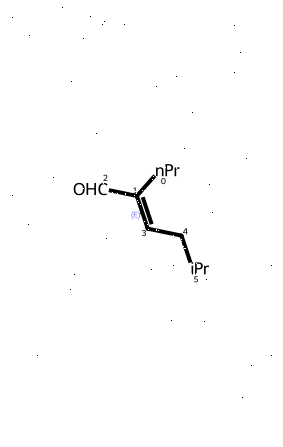 CCC/C(C=O)=C\CC(C)C